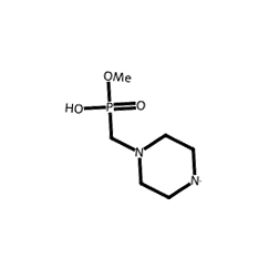 COP(=O)(O)CN1CC[N]CC1